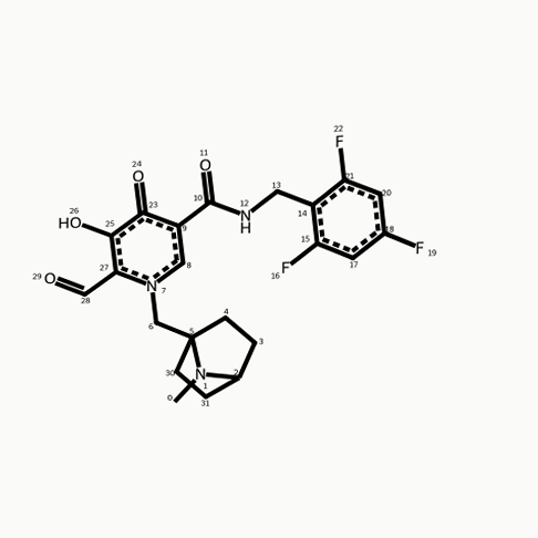 CN1C2CCC1(Cn1cc(C(=O)NCc3c(F)cc(F)cc3F)c(=O)c(O)c1C=O)CC2